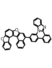 c1ccc2c(c1)nc1c3ccccc3c3ccc(-c4cc5oc6ccc7oc8ccccc8c7c6c5c5ccccc45)cc3n21